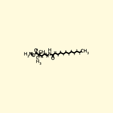 CCCCCCCCCCCC(=O)NCCCC(C)(C)C(=O)ON